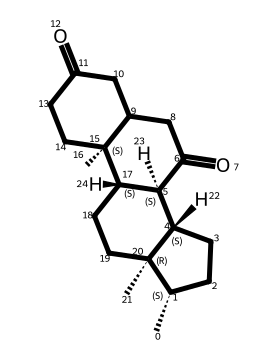 C[C@H]1CC[C@H]2[C@@H]3C(=O)CC4CC(=O)CC[C@]4(C)[C@H]3CC[C@]12C